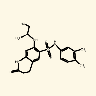 Cc1ccc(NS(=O)(=O)c2cc3c(cc2N[C@@H](C)CO)NC(=O)CC3)cc1C